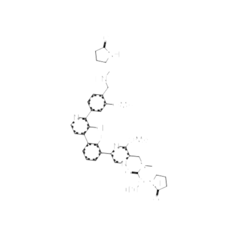 COc1cc(-c2nccc(-c3cccc(-c4cnc(CN(C[C@@H]5CCC(=O)N5)C(=O)OC(C)(C)C)c(OC)n4)c3Cl)c2Cl)ccc1CNC[C@@H]1CCC(=O)N1